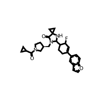 O=C(C1CC1)N1CC[C@@H](CN2C(=O)C3(CC3)NC2C2CCC(c3ccc4occc4c3)=CC2F)C1